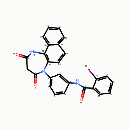 O=C1CC(=O)N(c2cccc(NC(=O)c3ccccc3I)c2)c2ccc3ccccc3c2N1